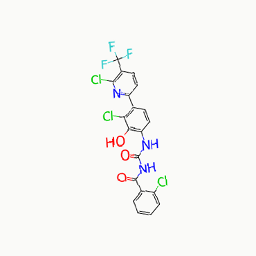 O=C(NC(=O)c1ccccc1Cl)Nc1ccc(-c2ccc(C(F)(F)F)c(Cl)n2)c(Cl)c1O